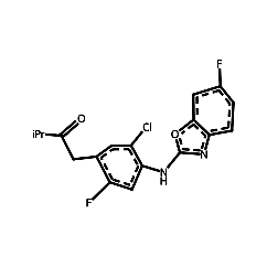 CC(C)C(=O)Cc1cc(Cl)c(Nc2nc3ccc(F)cc3o2)cc1F